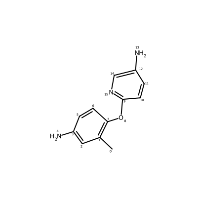 Cc1cc(N)ccc1Oc1ccc(N)cn1